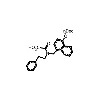 CCCCCCCCCCOc1ccc(CN(CCc2ccccc2)C(=O)C(=O)O)c2ccccc12